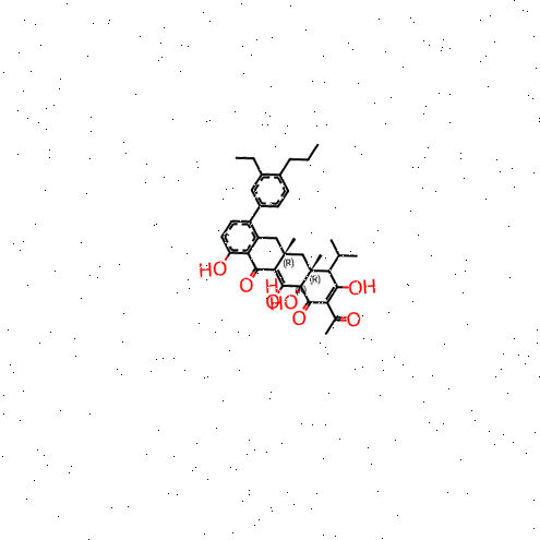 CCCc1ccc(-c2ccc(O)c3c2C[C@]2(C)C[C@]4(C)C(C(C)C)C(O)=C(C(C)=O)C(=O)[C@]4(O)C(O)=C2C3=O)cc1CC